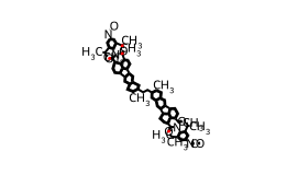 Cc1cc2cc3c(cc2cc1CCc1cc2cc4c(cc2cc1C)-c1ccc2c5c(ccc-4c15)C(=O)N(c1c(C(C)C)cc(N=C=O)cc1C(C)C)C2=O)-c1ccc2c4c(ccc-3c14)C(=O)N(c1c(C(C)C)cc(N=C=O)cc1C(C)C)C2=O